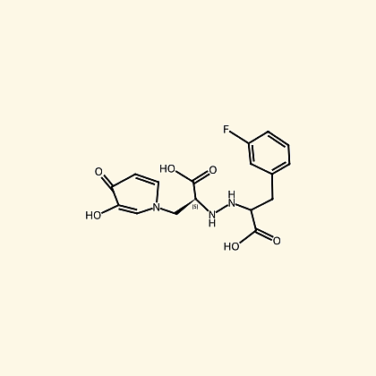 O=C(O)C(Cc1cccc(F)c1)NN[C@@H](Cn1ccc(=O)c(O)c1)C(=O)O